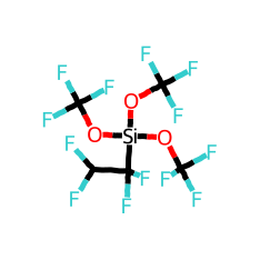 FC(F)C(F)(F)[Si](OC(F)(F)F)(OC(F)(F)F)OC(F)(F)F